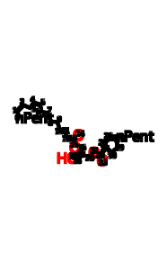 CCCCC/C=C\C/C=C\CCCCCCCC(=O)OCC(CO)COC(=O)C1CCC(CCCCC)CC1